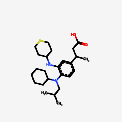 CC(C)CN(c1ccc(C(C)CC(=O)O)cc1NC1CCSCC1)C1CCCCC1